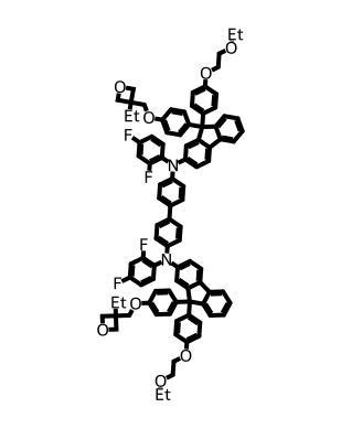 CCOCCOc1ccc(C2(c3ccc(OCC4(CC)COC4)cc3)c3ccccc3-c3ccc(N(c4ccc(-c5ccc(N(c6ccc7c(c6)C(c6ccc(OCCOCC)cc6)(c6ccc(OCC8(CC)COC8)cc6)c6ccccc6-7)c6ccc(F)cc6F)cc5)cc4)c4ccc(F)cc4F)cc32)cc1